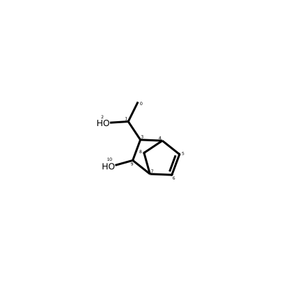 CC(O)C1C2C=CC(C2)C1O